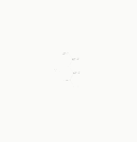 C=CC(=O)OC(=O)C(C)O.[MgH2]